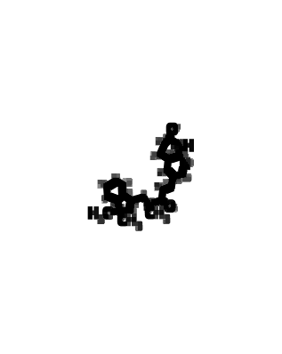 CN(CC1=CC(C)(C)c2ccccc21)C(=O)C=Cc1cnc2c(c1)CCC(=O)N2